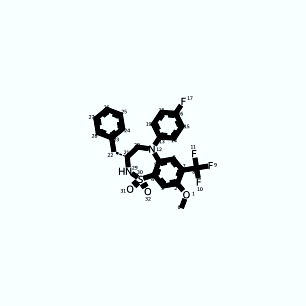 COc1cc2c(cc1C(F)(F)F)N(c1ccc(F)cc1)C[C@@H](Cc1ccccc1)NS2(=O)=O